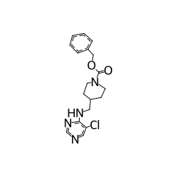 O=C(OCc1ccccc1)N1CCC(CNc2ncncc2Cl)CC1